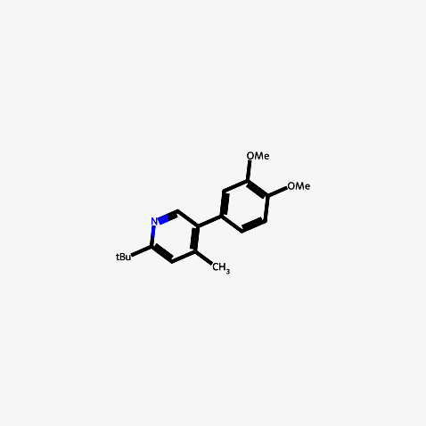 COc1ccc(-c2cnc(C(C)(C)C)cc2C)cc1OC